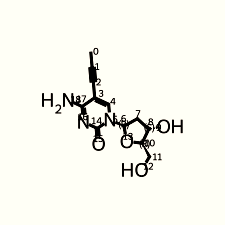 CC#Cc1cn([C@H]2C[C@H](O)[C@@H](CO)O2)c(=O)nc1N